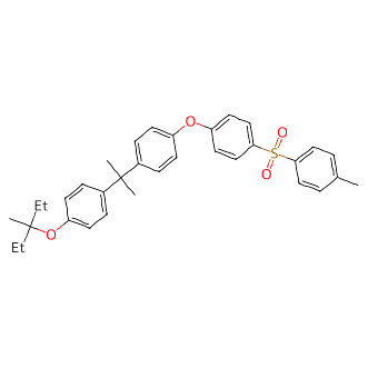 CCC(C)(CC)Oc1ccc(C(C)(C)c2ccc(Oc3ccc(S(=O)(=O)c4ccc(C)cc4)cc3)cc2)cc1